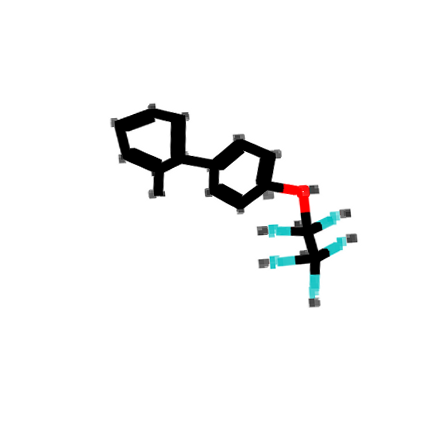 [CH2]c1ccccc1-c1ccc(OC(F)(F)C(F)(F)F)cc1